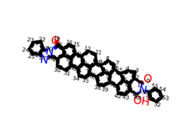 O=C1c2ccc3c4ccc5c6ccc7c8ccc9c(=O)n%10c%11ccccc%11nc%10c%10ccc(c%11ccc(c%12ccc(c%13ccc(c2c3%13)C(O)N1c1ccccc1)c4c5%12)c6c7%11)c8c9%10